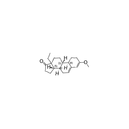 CCC12CC[C@H]3[C@@H](CC=C4C=C(OC)CC[C@@H]43)[C@@H]1CCC2=O